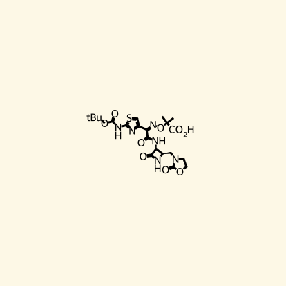 CC(C)(C)OC(=O)Nc1nc(/C(=N/OC(C)(C)C(=O)O)C(=O)N[C@@H]2C(=O)N[C@@H]2CN2CCOC2=O)cs1